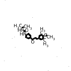 COc1c(C)cc(C=CC(=O)c2ccc(NC(=O)NC(C)C)cc2)cc1C